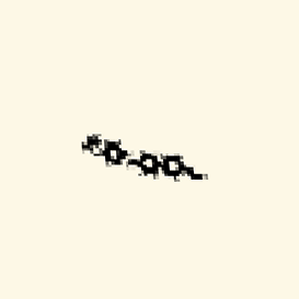 CCCC1CCC(C2CCC(COc3ccc(OC(F)(F)F)cc3)CC2)CC1